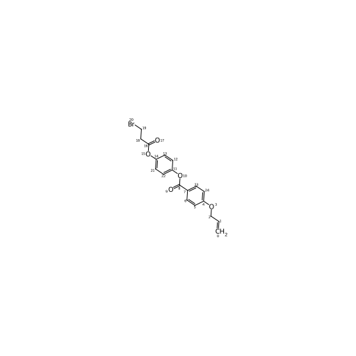 C=CCOc1ccc(C(=O)Oc2ccc(OC(=O)CCBr)cc2)cc1